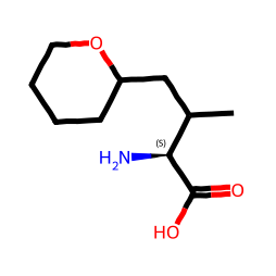 CC(CC1CCCCO1)[C@H](N)C(=O)O